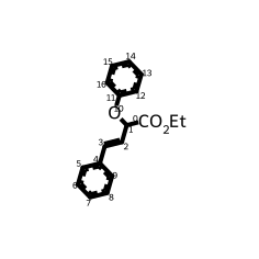 CCOC(=O)C(/C=C/c1ccccc1)Oc1ccccc1